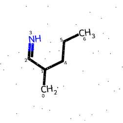 [CH2]C(C=N)CCC